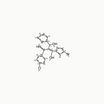 N=C(/C(=C(\O)c1ccc(Br)s1)C(O)c1cccnc1)c1ccc(Cl)cc1